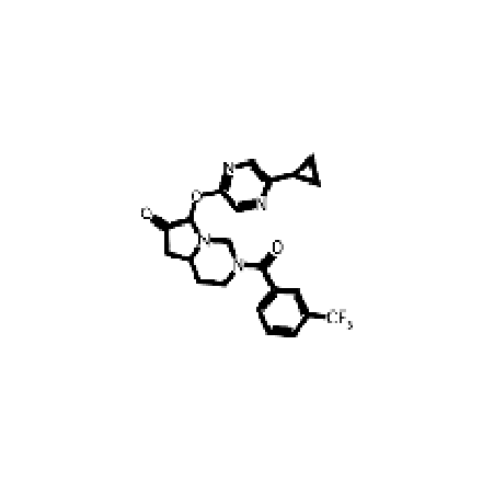 O=C1CC2CCN(C(=O)c3cccc(C(F)(F)F)c3)CN2C1Oc1cnc(C2CC2)cn1